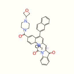 CC(=O)N1/C(=C\c2cc(-c3ccc4ccccc4c3)c3cc(C(=O)N4CCN(C5COC5)CC4)ccc3n2)C(=O)c2ccccc21